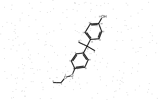 CCOOc1ccc(C(C)(C)c2ccc(O)cc2)cc1